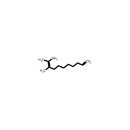 C=CCCCCCCC(C)=C(C)[SiH3]